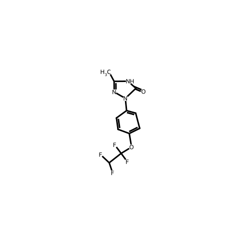 Cc1nn(-c2ccc(OC(F)(F)C(F)F)cc2)c(=O)[nH]1